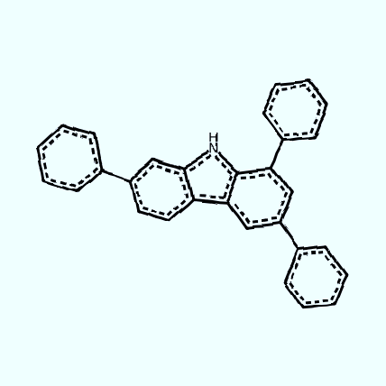 c1ccc(-c2ccc3c(c2)[nH]c2c(-c4ccccc4)cc(-c4ccccc4)cc23)cc1